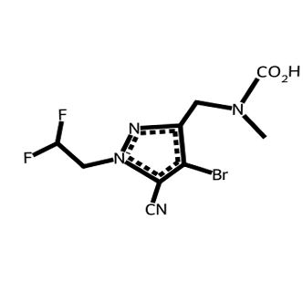 CN(Cc1nn(CC(F)F)c(C#N)c1Br)C(=O)O